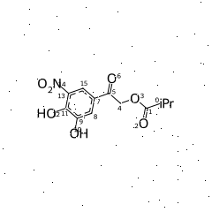 CC(C)C(=O)OCC(=O)c1cc(O)c(O)c([N+](=O)[O-])c1